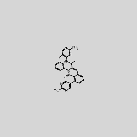 COc1ncc(-c2cccc3cc(C(C)Nc4nc(N)ncc4I)n(-c4ccccc4)c(=O)c23)cn1